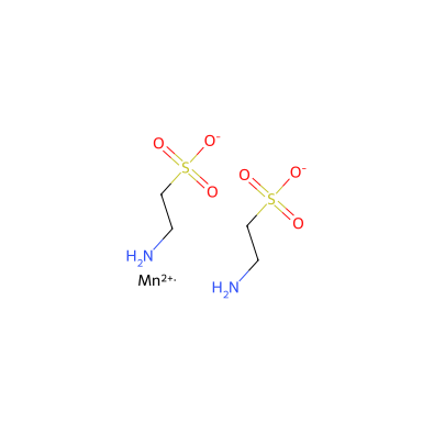 NCCS(=O)(=O)[O-].NCCS(=O)(=O)[O-].[Mn+2]